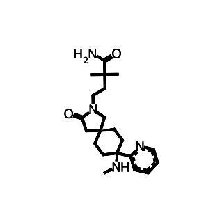 CN[C@]1(c2ccccn2)CC[C@@]2(CC1)CC(=O)N(CCC(C)(C)C(N)=O)C2